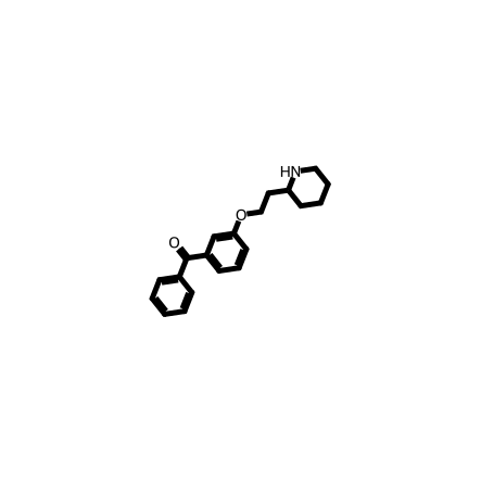 O=C(c1ccccc1)c1cccc(OCCC2CCCCN2)c1